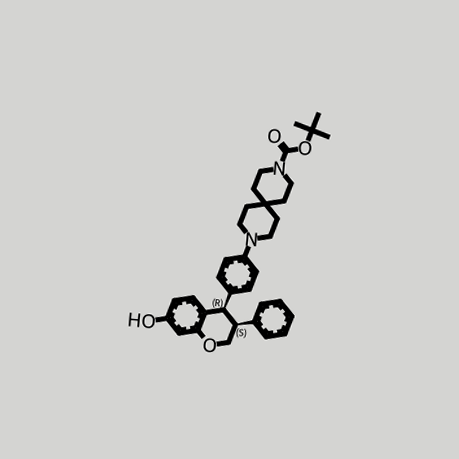 CC(C)(C)OC(=O)N1CCC2(CC1)CCN(c1ccc([C@@H]3c4ccc(O)cc4OC[C@@H]3c3ccccc3)cc1)CC2